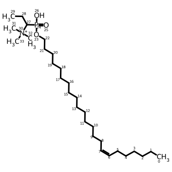 CCCCCC/C=C\CCCCCCCCCCCCCCCOP(=O)(O)C(CC)[N+](C)(C)C